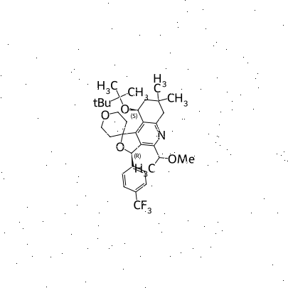 COC(C)c1nc2c(c3c1[C@@H](c1ccc(C(F)(F)F)cc1)OC31CCOCC1)[C@@H](OC(C)(C)C(C)(C)C)CC(C)(C)C2